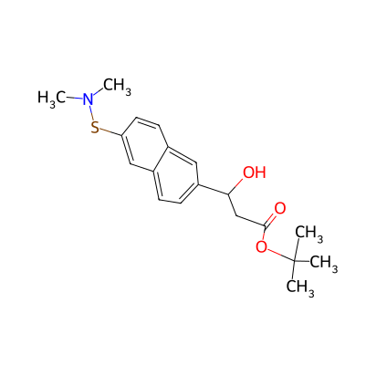 CN(C)Sc1ccc2cc(C(O)CC(=O)OC(C)(C)C)ccc2c1